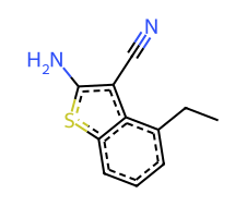 CCc1cccc2sc(N)c(C#N)c12